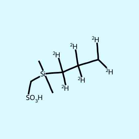 [2H]C([2H])C([2H])([2H])C([2H])([2H])[Si](C)(C)CS(=O)(=O)O